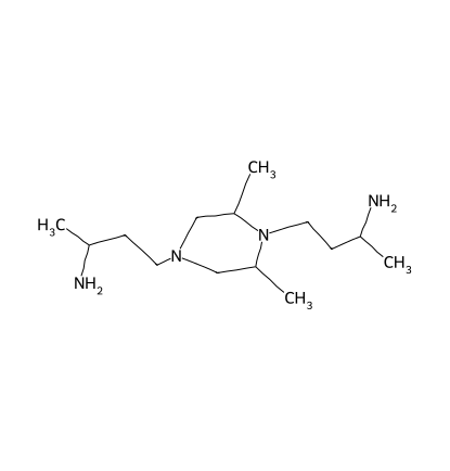 CC(N)CCN1CC(C)N(CCC(C)N)C(C)C1